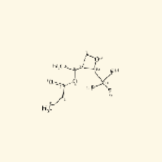 CCC(=O)OC(C)C1COC1C(F)(F)F